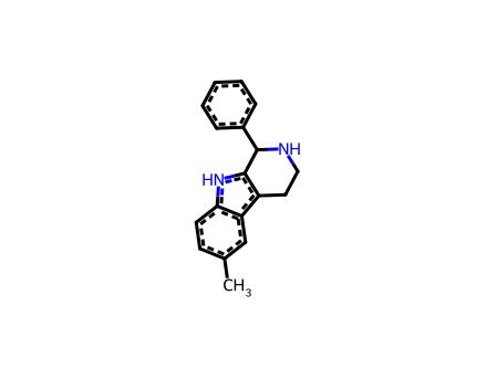 Cc1ccc2[nH]c3c(c2c1)CCNC3c1ccccc1